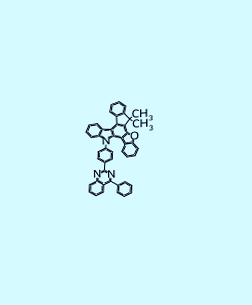 CC1(C)c2ccccc2-c2c1c1oc3ccccc3c1c1c2c2ccccc2n1-c1ccc(-c2nc(-c3ccccc3)c3ccccc3n2)cc1